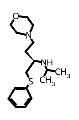 CC(C)N[C@H](CCN1CCOCC1)CSc1ccccc1